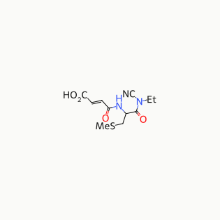 CCN(C#N)C(=O)C(CSC)NC(=O)C=CC(=O)O